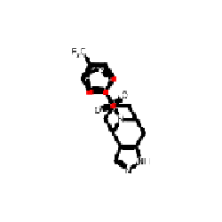 O=S(=O)(c1ccc(C(F)(F)F)cc1)N1C2Cc3[nH]ncc3C1CC(c1csnn1)C2